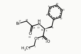 CCOC(=O)[C@H](Cc1ccccc1)NC(=O)CBr